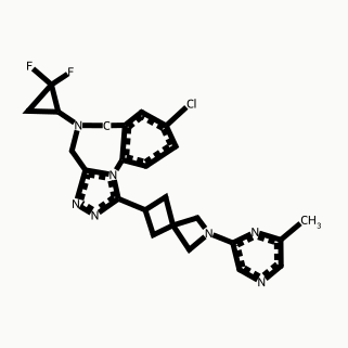 Cc1cncc(N2CC3(CC(c4nnc5n4-c4ccc(Cl)cc4CN(C4CC4(F)F)C5)C3)C2)n1